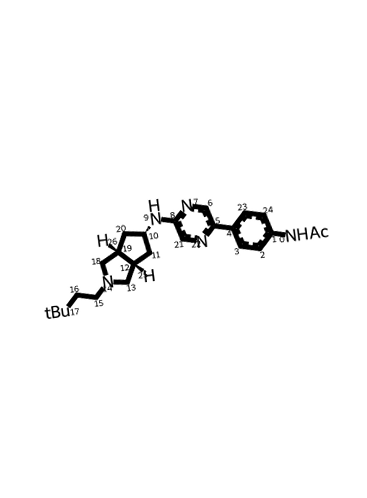 CC(=O)Nc1ccc(-c2cnc(N[C@@H]3C[C@@H]4CN(CCC(C)(C)C)C[C@@H]4C3)cn2)cc1